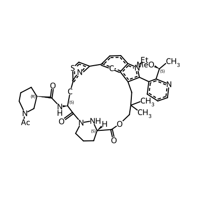 CCn1c(-c2cccnc2[C@H](C)OC)c2c3cc(ccc31)-c1csc(n1)C[C@H](NC(=O)[C@@H]1CCCN(C(C)=O)C1)C(=O)N1CCC[C@H](N1)C(=O)OCC(C)(C)C2